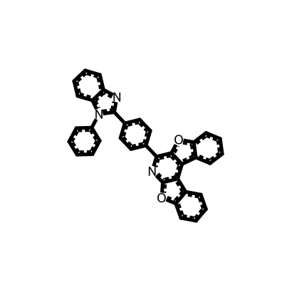 c1ccc(-n2c(-c3ccc(-c4nc5oc6ccccc6c5c5c4oc4ccccc45)cc3)nc3ccccc32)cc1